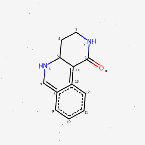 O=C1NCCC2NC=c3ccccc3=C12